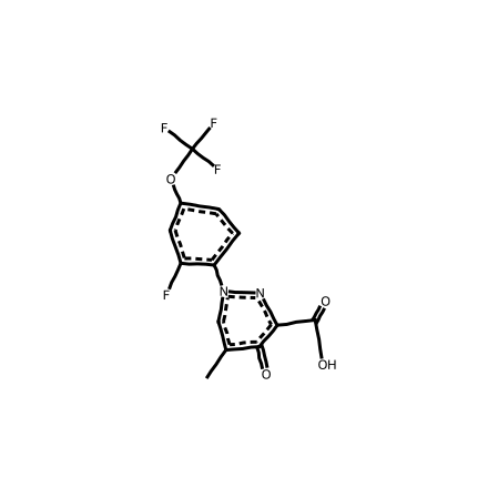 Cc1cn(-c2ccc(OC(F)(F)F)cc2F)nc(C(=O)O)c1=O